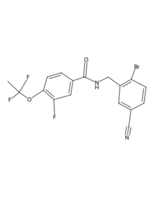 CC(F)(F)Oc1ccc(C(=O)NCc2cc(C#N)ccc2Br)cc1F